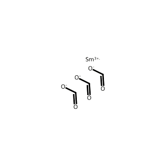 O=C[O-].O=C[O-].O=C[O-].[Sm+3]